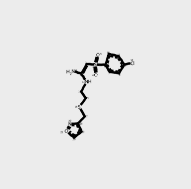 NC(=CS(=O)(=O)c1ccc(Cl)cc1)NCCSCc1ccon1